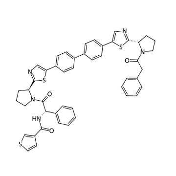 O=C(N[C@H](C(=O)N1CCC[C@H]1c1ncc(-c2ccc(-c3ccc(-c4cnc([C@@H]5CCCN5C(=O)Cc5ccccc5)s4)cc3)cc2)s1)c1ccccc1)c1ccsc1